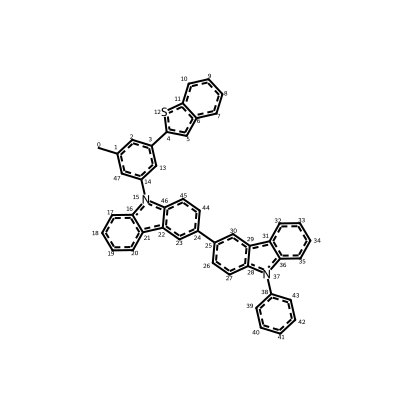 Cc1cc(-c2cc3ccccc3s2)cc(-n2c3ccccc3c3cc(-c4ccc5c(c4)c4ccccc4n5-c4ccccc4)ccc32)c1